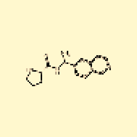 NC(NC(=O)[C@@H]1CCCN1)c1ccc2cnccc2c1